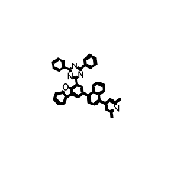 Cc1cc(-c2ccc(-c3cc(-c4nc(-c5ccccc5)nc(-c5ccccc5)n4)c4oc5ccccc5c4c3)c3ccccc23)cc(C)n1